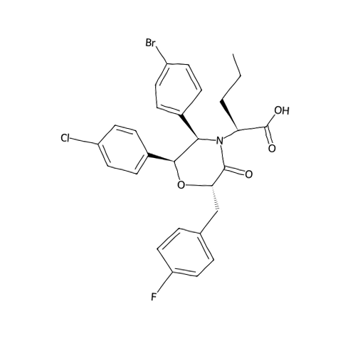 CCC[C@@H](C(=O)O)N1C(=O)[C@H](Cc2ccc(F)cc2)O[C@@H](c2ccc(Cl)cc2)[C@H]1c1ccc(Br)cc1